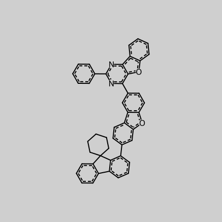 c1ccc(-c2nc(-c3ccc4oc5cc(-c6cccc7c6C6(CCCCC6)c6ccccc6-7)ccc5c4c3)c3oc4ccccc4c3n2)cc1